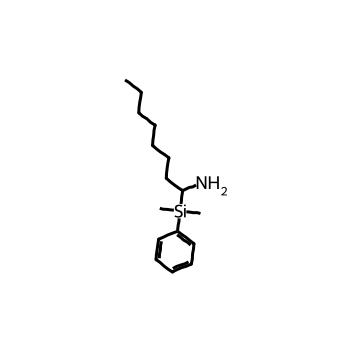 CCCCCCCC(N)[Si](C)(C)c1ccccc1